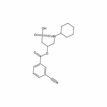 N#Cc1cccc(C(=O)OC(CNC2CCCCC2)CS(=O)(=O)O)c1